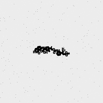 Cc1cc(C(Nc2ccc3cc[nH]c(=O)c3c2)C(=O)O)ccc1[C@@H](C)COC(=O)Nc1cccc(C(N)CC2OC(C)O2)c1